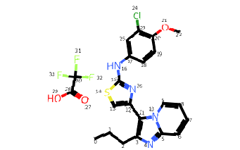 CCCc1nc2ccccn2c1-c1csc(Nc2ccc(OC)c(Cl)c2)n1.O=C(O)C(F)(F)F